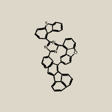 c1ccc(-c2nc(-c3cccc4oc5ccc(-c6cccc7c6-c6cccc8cccc-7c68)cc5c34)nc(-c3cccc4sc5ccccc5c34)n2)cc1